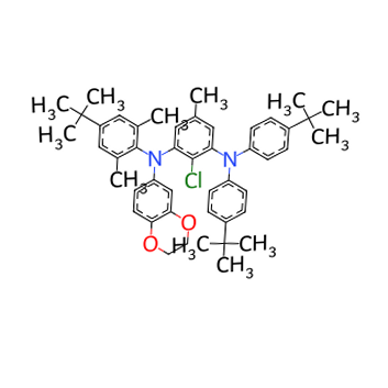 Cc1cc(N(c2ccc(C(C)(C)C)cc2)c2ccc(C(C)(C)C)cc2)c(Cl)c(N(c2ccc3c(c2)OCCO3)c2c(C)cc(C(C)(C)C)cc2C)c1